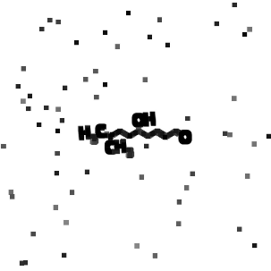 CC(C)CCC(O)C/C=C/C=O